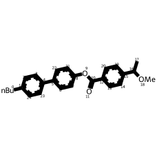 CCCCc1ccc(-c2ccc(OC(=O)c3ccc(C(C)OC)cc3)cc2)cc1